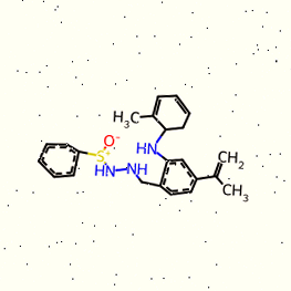 C=C(C)c1ccc(CNN[S+]([O-])c2ccccc2)c(NC2CC=CC=C2C)c1